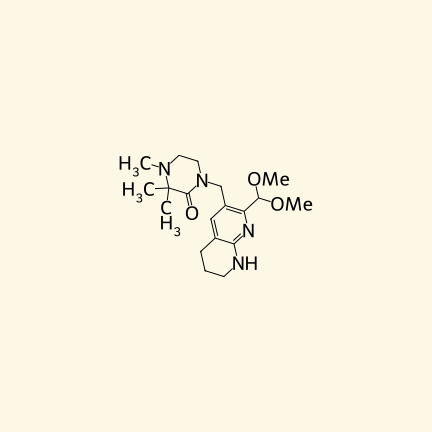 COC(OC)c1nc2c(cc1CN1CCN(C)C(C)(C)C1=O)CCCN2